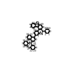 c1ccc(-c2nc3cc(-c4ccc(N5c6ccccc6Sc6ccccc65)c5ccccc45)ccc3c3c2ccc2oc4ccccc4c23)cc1